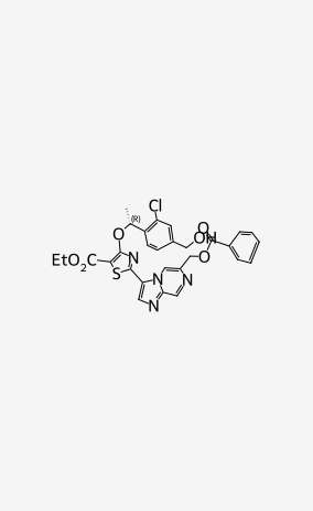 CCOC(=O)c1sc(-c2cnc3cnc(COC(=O)c4ccccc4)cn23)nc1O[C@H](C)c1ccc(CO)cc1Cl